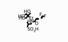 C=C(F)F.C=CC(=O)NCC(C)CS(=O)(=O)O.CCC(CO)(CO)CO